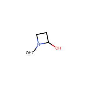 O=CN1CCC1O